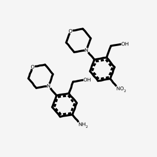 Nc1ccc(N2CCOCC2)c(CO)c1.O=[N+]([O-])c1ccc(N2CCOCC2)c(CO)c1